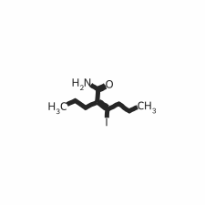 CCCC(I)=C(CCC)C(N)=O